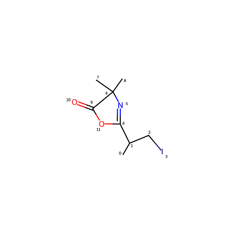 CC(CI)C1=NC(C)(C)C(=O)O1